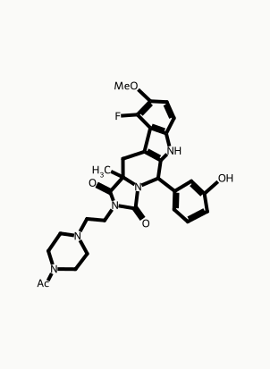 COc1ccc2[nH]c3c(c2c1F)CC1(C)C(=O)N(CCN2CCN(C(C)=O)CC2)C(=O)N1C3c1cccc(O)c1